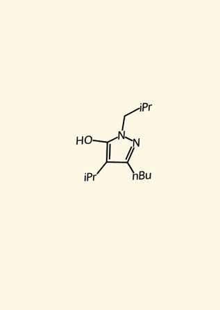 CCCCc1nn(CC(C)C)c(O)c1C(C)C